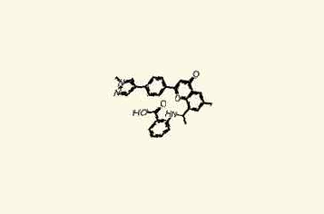 Cc1cc(C(C)Nc2ccccc2C(=O)O)c2oc(-c3ccc(-c4cnn(C)c4)cc3)cc(=O)c2c1